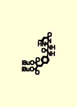 Cc1cc(=O)nc(NC(=O)Nc2ccc(C=C(C(=O)OCC(C)C)C(=O)OCC(C)C)cc2)[nH]1